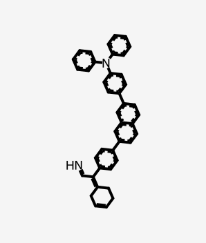 N=C/C(=C1\CC=CCC1)c1ccc(-c2ccc3ccc(-c4ccc(N(c5ccccc5)c5ccccc5)cc4)cc3c2)cc1